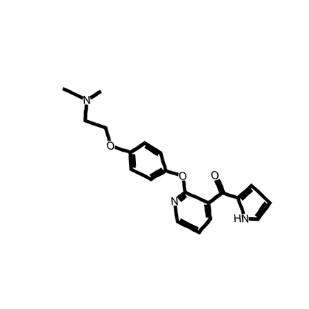 CN(C)CCOc1ccc(Oc2ncccc2C(=O)c2ccc[nH]2)cc1